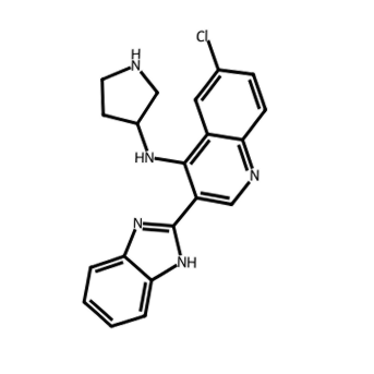 Clc1ccc2ncc(-c3nc4ccccc4[nH]3)c(NC3CCNC3)c2c1